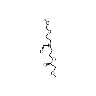 COCOCCN(C=O)CCOC(=O)COC